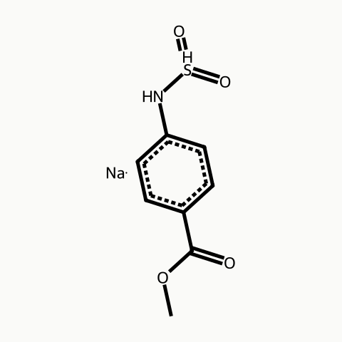 COC(=O)c1ccc(N[SH](=O)=O)cc1.[Na]